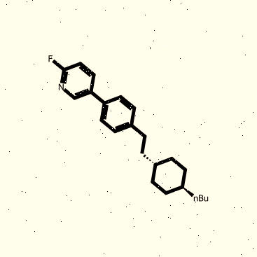 CCCC[C@H]1CC[C@H](CCc2ccc(-c3ccc(F)nc3)cc2)CC1